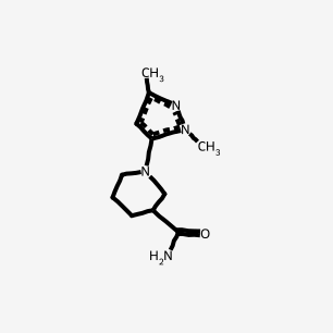 Cc1cc(N2CCCC(C(N)=O)C2)n(C)n1